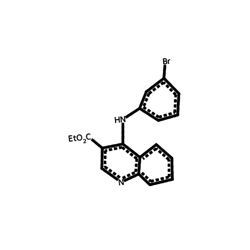 CCOC(=O)c1cnc2ccccc2c1Nc1cccc(Br)c1